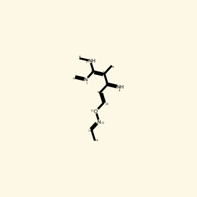 C=N/C(NC)=C(/C)C(=N)/C=C/O/N=C/C